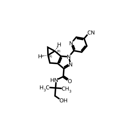 CC(C)(CO)NC(=O)c1nn(-c2ccc(C#N)cn2)c2c1C[C@H]1C[C@@H]21